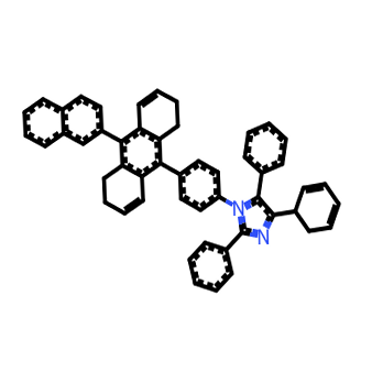 C1=CCC(c2nc(-c3ccccc3)n(-c3ccc(-c4c5c(c(-c6ccc7ccccc7c6)c6c4CCC=C6)CCC=C5)cc3)c2-c2ccccc2)C=C1